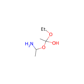 CCOC(C)(O)OC(C)N